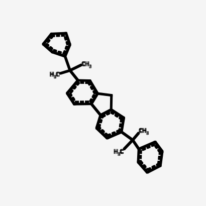 CC(C)(c1ccccc1)c1ccc2c(c1)Cc1cc(C(C)(C)c3ccccc3)ccc1-2